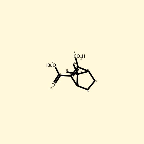 CC(C)COC(=O)C1=C(C(=O)O)C2CCC1C2(C)C